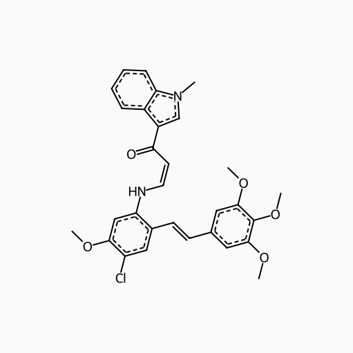 COc1cc(N/C=C\C(=O)c2cn(C)c3ccccc23)c(C=Cc2cc(OC)c(OC)c(OC)c2)cc1Cl